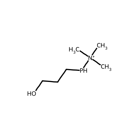 C[N+](C)(C)PCCCO